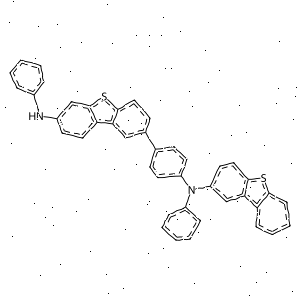 c1ccc(Nc2ccc3c(c2)sc2ccc(-c4ccc(N(c5ccccc5)c5ccc6sc7ccccc7c6c5)cc4)cc23)cc1